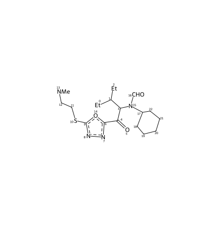 CCC(CC)C(C(=O)c1nnc(SCCNC)o1)N(C=O)C1CCCCC1